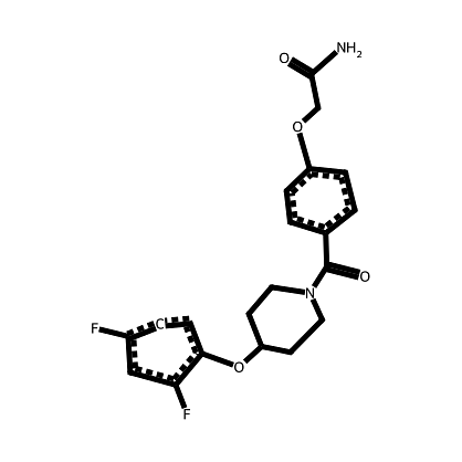 NC(=O)COc1ccc(C(=O)N2CCC(Oc3ccc(F)cc3F)CC2)cc1